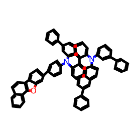 c1ccc(-c2cccc(N(c3ccc(-c4ccc5c(c4)oc4c6ccccc6ccc54)cc3)c3ccccc3-c3ccccc3N(c3cccc(-c4ccccc4)c3)c3ccc4cc(-c5ccccc5)ccc4c3)c2)cc1